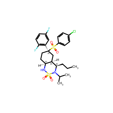 CCC[C@@H]1[C@@H]2C[C@](c3cc(F)ccc3F)(S(=O)(=O)c3ccc(Cl)cc3)CC[C@@H]2NS(=O)(=O)N1C(C)C